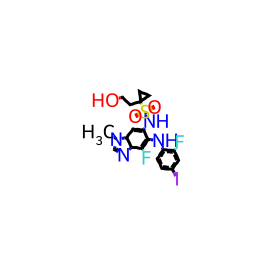 CN1C=NC2C(F)=C(Nc3ccc(I)cc3F)C(NS(=O)(=O)C3(CCO)CC3)=CC21